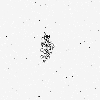 C=CCNC(=O)C(=O)C(CC1CC1)NC(=O)[C@@H]1[C@H]2CCC3(CC3)[C@H]2CN1C(=O)[C@@H](NC(=O)N[C@H](CN1C(=O)CC(C)(C)CC1=O)C(C)(C)C)C1CCCCC1